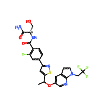 CC(Oc1cnc2c(ccn2CC(F)(F)F)c1)c1cc(-c2ccc(C(=O)N[C@@H](CO)C(N)=O)c(F)c2)ns1